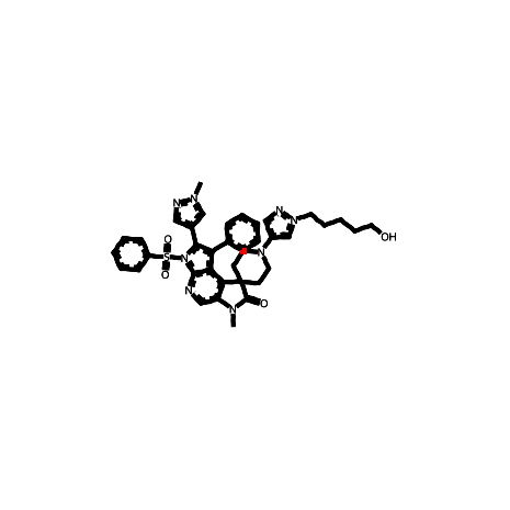 CN1C(=O)C2(CCN(c3cnn(CCCCCO)c3)CC2)c2c1cnc1c2c(-c2ccccc2)c(-c2cnn(C)c2)n1S(=O)(=O)c1ccccc1